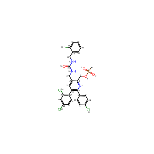 CS(=O)(=O)OCc1nc(-c2ccc(Cl)cc2)c(-c2ccc(Cl)cc2Cl)cc1CNC(=O)NCc1ccccc1F